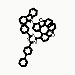 c1ccc(-c2ccc(-c3nc(-c4ccccc4)nc(-c4ccc5oc6ccccc6c5c4-c4ccc(-n5c6ccccc6c6ccccc65)c5oc6ccccc6c45)n3)cc2)cc1